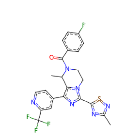 Cc1nsc(-c2nc(-c3ccnc(C(F)(F)F)c3)c3n2CCN(C(=O)c2ccc(F)cc2)C3C)n1